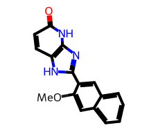 COc1cc2ccccc2cc1-c1nc2[nH]c(=O)ccc2[nH]1